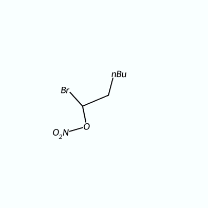 CCCCCC(Br)O[N+](=O)[O-]